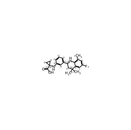 Cc1cc(F)cc2c1NC(c1cccc(NC3(C(=O)O)CC3)c1)CC2(C)C